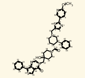 COc1ccc(-c2ncc(CN3CC[C@@H](C(=O)N4CCC(O)(Cn5cnc6c(-c7ccccc7)scc6c5=O)CC4)[C@H](c4ccccc4)C3)s2)cn1